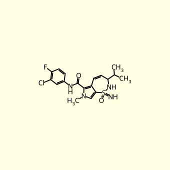 CC(C)C1C=Cc2c(cn(C)c2C(=O)Nc2ccc(F)c(Cl)c2)S(=N)(=O)N1